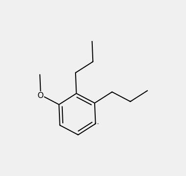 CCCc1[c]ccc(OC)c1CCC